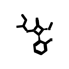 CCC(C)SN1C(=O)[C@H](OC)[C@@H]1c1ccccc1Cl